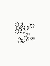 O=C1NCC[C@H]1C[C@@H](NC(=O)[C@H]1CN(c2ccccc2)CCN1C(=O)C1(O)c2ccccc2-c2ccccc21)C(=O)CO